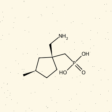 C[C@@H]1CC[C@@](CN)(CP(=O)(O)O)C1